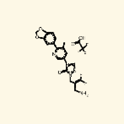 Cc1cc(-n2cnn(CC(CN)=C(F)F)c2=O)cnc1-c1ccc2c(c1)OCO2.O=C(O)C(F)(F)F